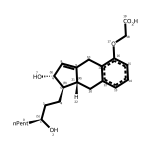 CCCCC[C@H](O)CC[C@H]1[C@H](O)C=C2Cc3c(cccc3OCC(=O)O)C[C@@H]21